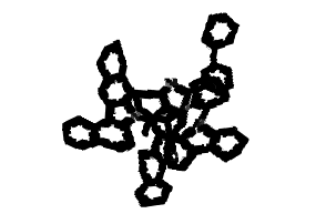 CC1C/C=C(c2ccc3oc4c5ccccc5ccc4c3c2-n2c3cc4ccccc4cc3c3c4ccccc4ccc32)/N=C(c2cccc(-c3ccccc3)c2)\N=C/1c1cccc2c3ccccc3n(-c3ccccc3)c12